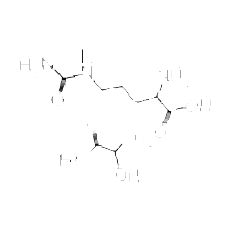 CC(O)C(=O)O.NC(=O)NCCCC(N)C(=O)O